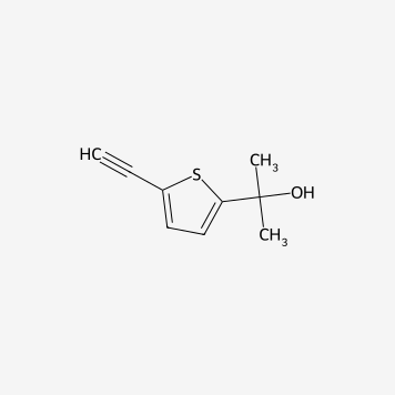 C#Cc1ccc(C(C)(C)O)s1